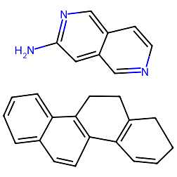 C1=CC2=C(CC1)CCc1c2ccc2ccccc12.Nc1cc2cnccc2cn1